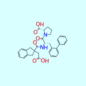 O=C(O)CC1(C(=O)N[C@@H](Cc2ccccc2-c2ccccc2)C(=O)N2CCC[C@H]2C(=O)O)Cc2ccccc2C1